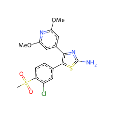 COc1cc(-c2nc(N)sc2-c2ccc(S(C)(=O)=O)c(Cl)c2)cc(OC)n1